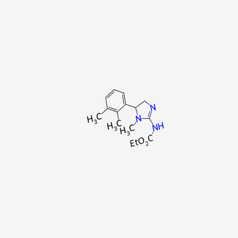 CCOC(=O)NC1=NCC(c2cccc(C)c2C)N1C